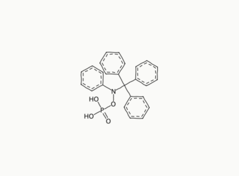 O=P(O)(O)ON(c1ccccc1)C(c1ccccc1)(c1ccccc1)c1ccccc1